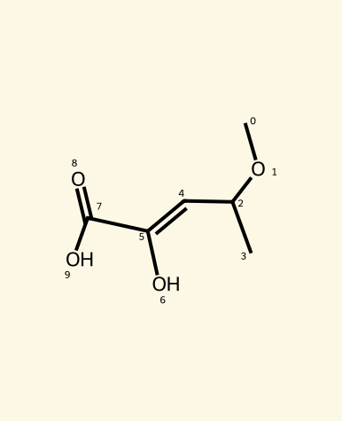 COC(C)C=C(O)C(=O)O